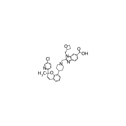 C[C@]1(c2ccc(Cl)cn2)C=Cc2cccc(C3CCN(Cc4nc5ccc(C(=O)O)cc5n4C[C@@H]4CCO4)CC3)c2O1